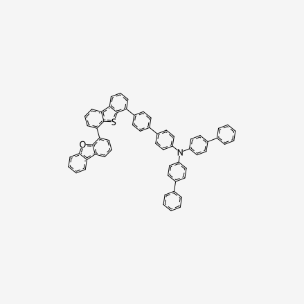 c1ccc(-c2ccc(N(c3ccc(-c4ccccc4)cc3)c3ccc(-c4ccc(-c5cccc6c5sc5c(-c7cccc8c7oc7ccccc78)cccc56)cc4)cc3)cc2)cc1